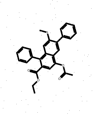 CCOC(=O)c1cc(OC(C)=O)c2cc(-c3ccccc3)c(SC)cc2c1-c1ccccc1